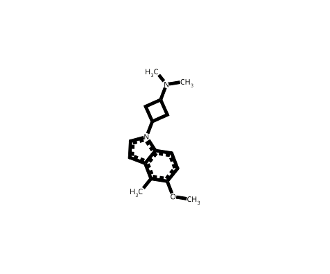 COc1ccc2c(ccn2C2CC(N(C)C)C2)c1C